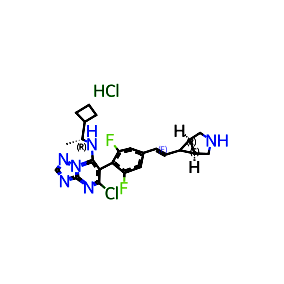 C[C@@H](Nc1c(-c2c(F)cc(/C=C/C3[C@H]4CNC[C@@H]34)cc2F)c(Cl)nc2ncnn12)C1CCC1.Cl